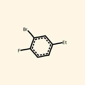 CCc1ccc(F)c(Br)c1